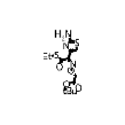 CCSC(=O)C(=NOCC(=O)OC(C)(C)C)c1csc(N)n1